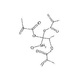 C=C(C)C(=O)OC(C)C(OC(=O)C(=C)C)(OC(=O)C(=C)C)[SiH2]Cl